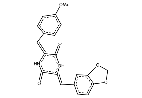 COc1ccc(C=c2[nH]c(=O)c(=Cc3ccc4c(c3)OCO4)[nH]c2=O)cc1